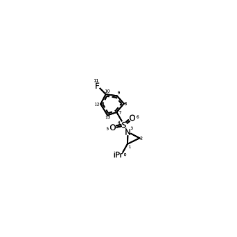 CC(C)C1CN1S(=O)(=O)c1ccc(F)cc1